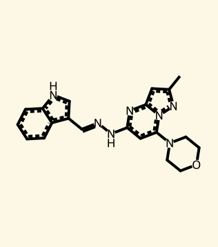 Cc1cc2nc(NN=Cc3c[nH]c4ccccc34)cc(N3CCOCC3)n2n1